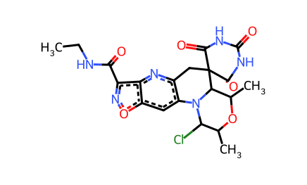 CCNC(=O)c1noc2cc3c(nc12)CC1(C(=O)NC(=O)NC1=O)C1C(C)OC(C)C(Cl)N31